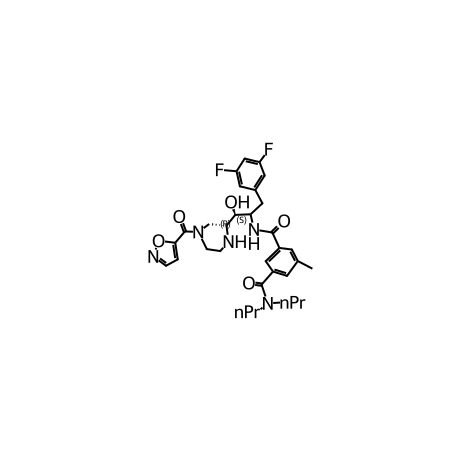 CCCN(CCC)C(=O)c1cc(C)cc(C(=O)NC(Cc2cc(F)cc(F)c2)[C@H](O)[C@H]2CN(C(=O)c3ccno3)CCN2)c1